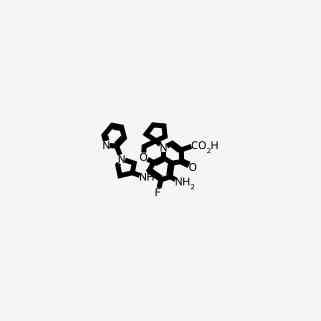 Nc1c(F)c(NC2CCN(c3ccccn3)C2)c2c3c1c(=O)c(C(=O)O)cn3C1(CCCC1)CO2